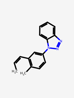 C/C=C\c1cc(-n2nnc3ccccc32)ccc1C